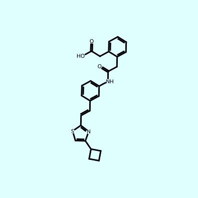 O=C(O)Cc1ccccc1CC(=O)Nc1cccc(/C=C/c2nc(C3CCC3)cs2)c1